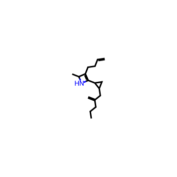 C=CCCC1=C(C2CC2CC(=C)CCC)NC1C